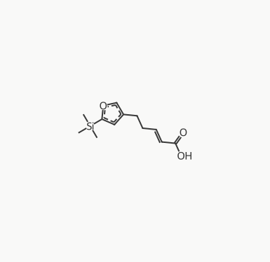 C[Si](C)(C)c1cc(CCC=CC(=O)O)co1